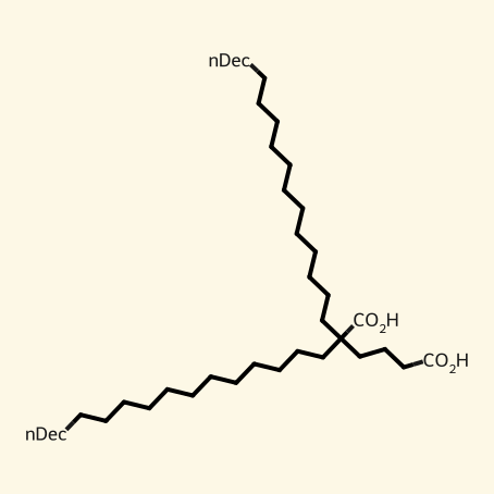 CCCCCCCCCCCCCCCCCCCCCCC(CCCCCCCCCCCCCCCCCCCCCC)(CCCC(=O)O)C(=O)O